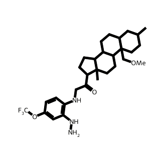 COCC12CCC(C)CC1CCC1C3CCC(C(=O)CNc4ccc(OC(F)(F)F)cc4NN)C3(C)CCC12